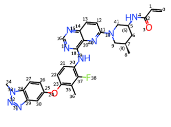 C=CC(=O)N[C@H]1C[C@@H](C)CN(c2ccc3ncnc(Nc4ccc(Oc5ccc6c(c5)nnn6C)c(C)c4F)c3n2)C1